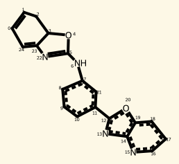 C1=CCC2OC(Nc3cccc(-c4nc5ncccc5o4)c3)=NC2=C1